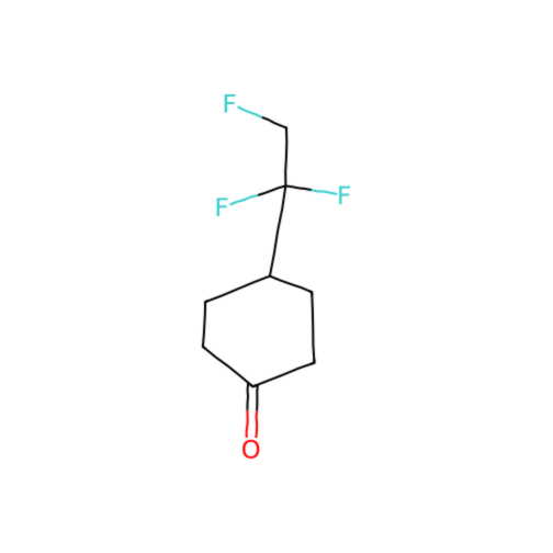 O=C1CCC(C(F)(F)CF)CC1